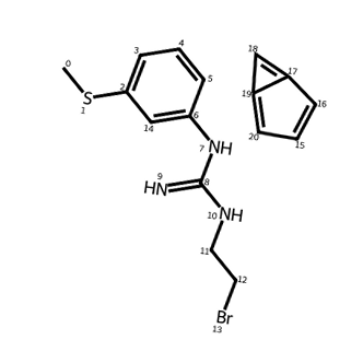 CSc1cccc(NC(=N)NCCBr)c1.c1cc2cc-2c1